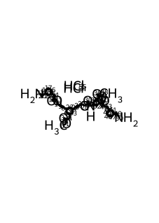 COC(=O)Cc1cc(C#CCOC(=O)Cc2cccc(CN)c2)cc(C#CCOC(=O)NC2CC(C(=O)OC)N(C(=O)CCc3cccc(CN)c3)C2)c1.Cl.Cl